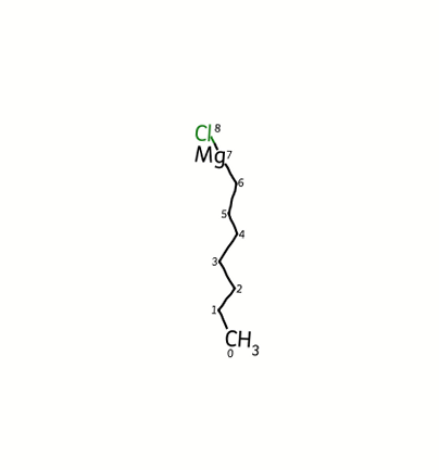 CCCCCC[CH2][Mg][Cl]